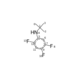 CC(C)(C)Nc1cc(F)c(F)cc1F